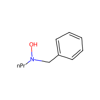 CCCN(O)Cc1ccccc1